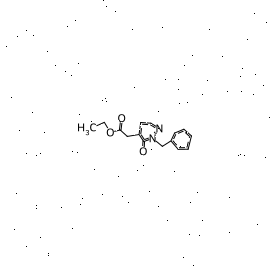 CCOC(=O)Cc1ccnn(Cc2ccccc2)c1=O